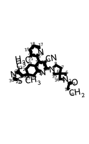 C=CC(=O)N1CC2(CCN(c3nc4c(c(-c5ncccc5C)c3C#N)CC[C@@](C)(c3scnc3C)C4)C2)C1